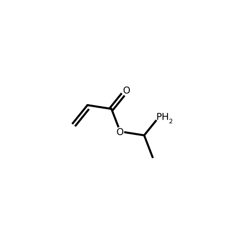 C=CC(=O)OC(C)P